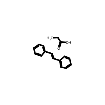 C(=Cc1ccccc1)c1ccccc1.CCC(=O)O